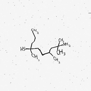 CCCC(C)(S)CCC(C)CC(C)(C)N